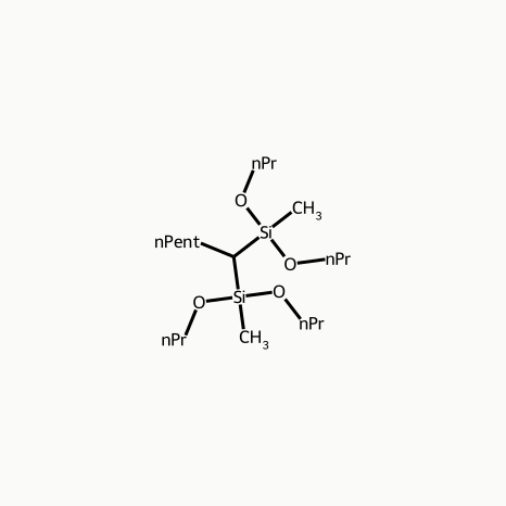 CCCCCC([Si](C)(OCCC)OCCC)[Si](C)(OCCC)OCCC